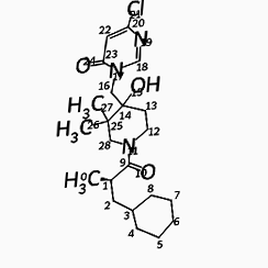 C[C@H](CC1CCCCC1)C(=O)N1CCC(O)(Cn2cnc(Cl)cc2=O)C(C)(C)C1